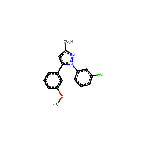 O=C(O)c1cc(-c2cccc(OC(F)(F)F)c2)n(-c2cccc(Cl)c2)n1